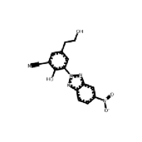 N#Cc1cc(CCO)cc(-n2nc3ccc([N+](=O)[O-])cc3n2)c1O